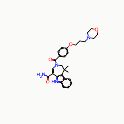 CC1(C)CN(C(=O)c2ccc(OCCCN3CCOCC3)cc2)C=C(C(N)=O)c2[nH]c3ccccc3c21